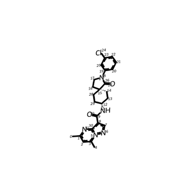 Cc1cc(C)n2ncc(C(=O)N[C@H]3CC[C@@]4(CCN(c5cccc(Cl)c5)C4=O)CC3)c2n1